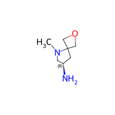 CN1C[C@H](N)CC12COC2